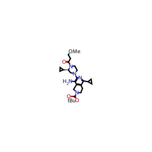 COCCC(=O)N1CCN(c2nc(C3CC3)c3c(c2N)CN(C(=O)OC(C)(C)C)CC3)C[C@H]1C1CC1